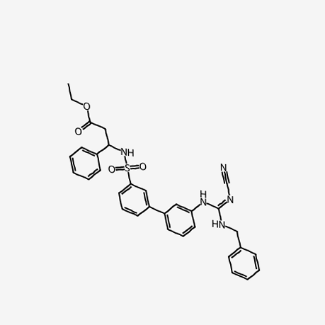 CCOC(=O)CC(NS(=O)(=O)c1cccc(-c2cccc(N/C(=N\C#N)NCc3ccccc3)c2)c1)c1ccccc1